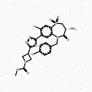 COC(=O)N1CC(c2nnc(-c3cc4c(cc3F)S(=O)(=O)C[C@H](N)C(=O)N4Cc3ccc(Cl)cc3)o2)C1